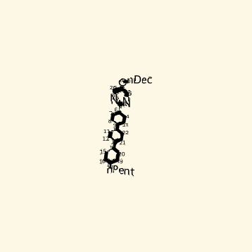 CCCCCCCCCCOc1cnc([C@H]2CC[C@H]([C@H]3CC[C@H]([C@H]4CC[C@H](CCCCC)CC4)CC3)CC2)nc1